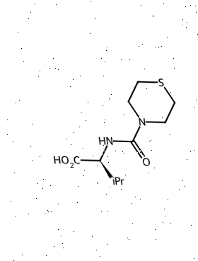 CC(C)[C@H](NC(=O)N1CCSCC1)C(=O)O